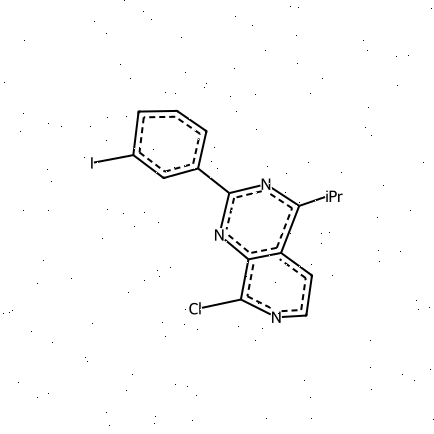 CC(C)c1nc(-c2cccc(I)c2)nc2c(Cl)nccc12